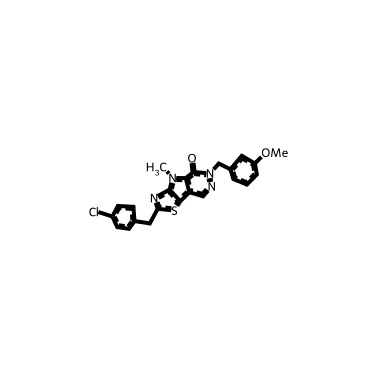 COc1cccc(Cn2ncc3c4sc(Cc5ccc(Cl)cc5)nc4n(C)c3c2=O)c1